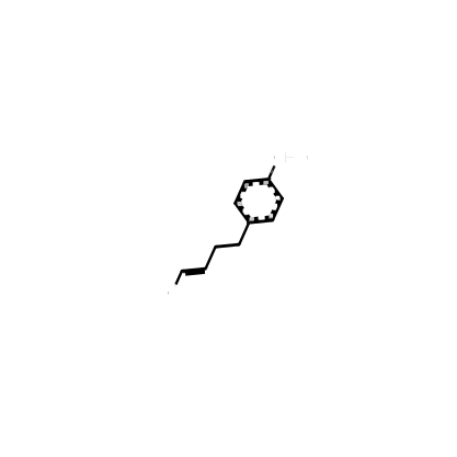 CC=CCCc1ccc(C=O)cc1